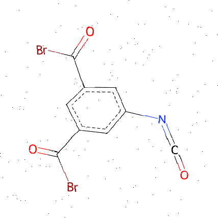 O=C=Nc1cc(C(=O)Br)cc(C(=O)Br)c1